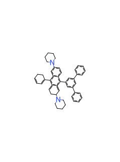 C1=CCCC(c2c3c(c(-c4cc(-c5ccccc5)cc(-c5ccccc5)c4)c4ccc(N5CCCCC5)cc24)=CC(N2CCCCC2)CC=3)=C1